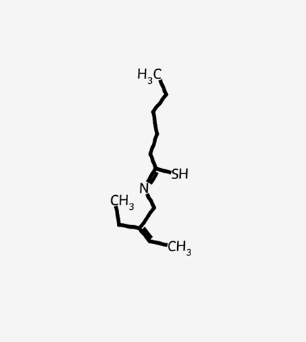 C/C=C(/CC)C/N=C(\S)CCCCC